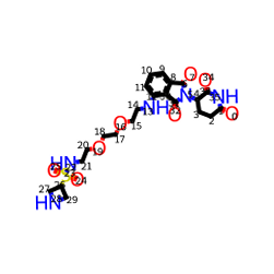 O=C1CCC(N2C(=O)c3cccc(NCCOCCOCCNS(=O)(=O)C4CNC4)c3C2=O)C(=O)N1